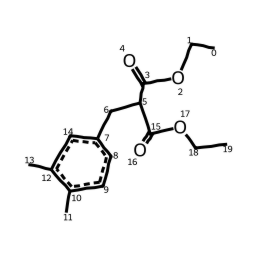 CCOC(=O)C(Cc1ccc(C)c(C)c1)C(=O)OCC